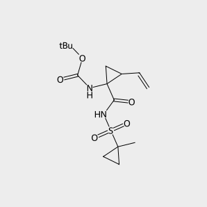 C=CC1CC1(NC(=O)OC(C)(C)C)C(=O)NS(=O)(=O)C1(C)CC1